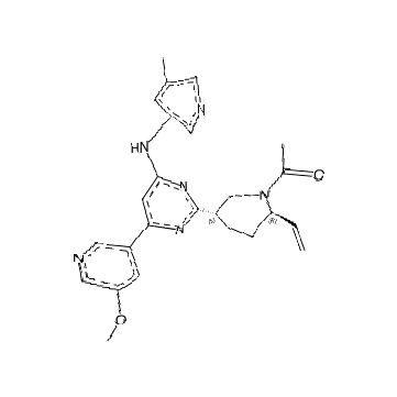 C=C[C@H]1CC[C@H](c2nc(Nc3cncc(C)c3)cc(-c3cncc(OC)c3)n2)CN1C(C)=O